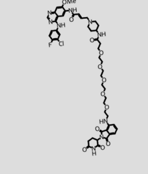 COc1cc2ncnc(Nc3ccc(F)c(Cl)c3)c2cc1NC(=O)/C=C/CN1CCC(NC(=O)CCOCCOCCOCCOCCOCCNc2cccc3c2C(=O)N(C2CCC(=O)NC2=O)C3=O)CC1